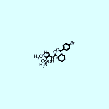 Cn1ncc(NC(=O)[C@@H]2CCCC[C@H]2C(=O)c2ccc(Br)cc2)c1S(N)(=O)=O